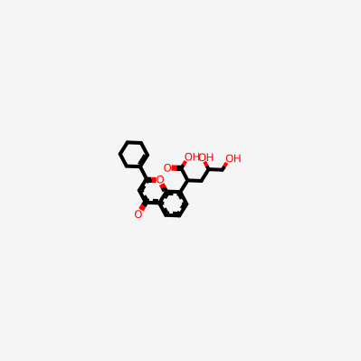 O=C(O)C(CC(O)CO)c1cccc2c(=O)cc(C3=CCCCC3)oc12